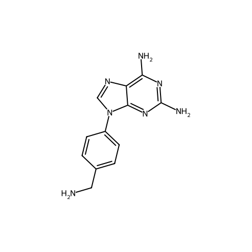 NCc1ccc(-n2cnc3c(N)nc(N)nc32)cc1